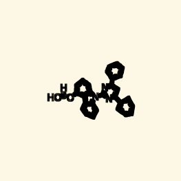 OBOc1cccc2c1c1ccccc1n2-c1nc(-c2ccccc2)cc(-c2ccccc2)n1